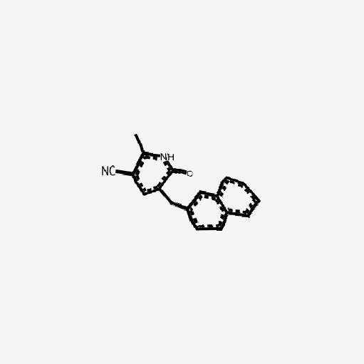 Cc1[nH]c(=O)c(Cc2ccc3ccccc3c2)cc1C#N